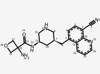 N#Cc1ccc(C[C@@H]2CNC[C@H](NC(=O)C3(N)COC3)C2)c2cccnc12